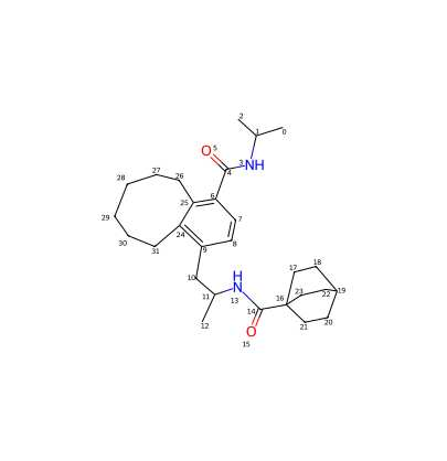 CC(C)NC(=O)c1ccc(CC(C)NC(=O)C23CCC(CC2)CC3)c2c1CCCCCC2